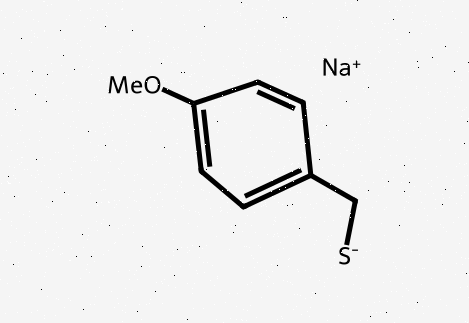 COc1ccc(C[S-])cc1.[Na+]